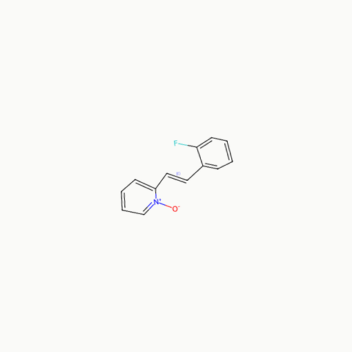 [O-][n+]1ccccc1/C=C/c1ccccc1F